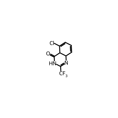 O=C1NC(C(F)(F)F)=NC2C=CC=C(Cl)C12